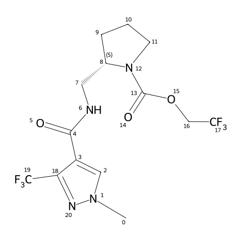 Cn1cc(C(=O)NC[C@@H]2CCCN2C(=O)OCC(F)(F)F)c(C(F)(F)F)n1